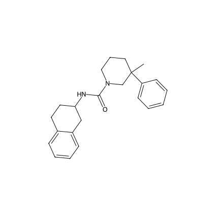 CC1(c2ccccc2)CCCN(C(=O)NC2CCc3ccccc3C2)C1